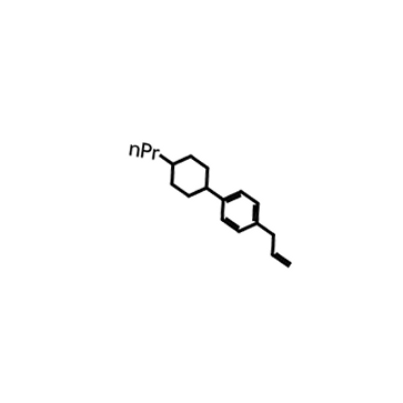 C=CCc1ccc(C2CCC(CCC)CC2)cc1